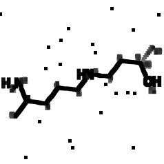 CC(N)CCCNCC[C@H](C)O